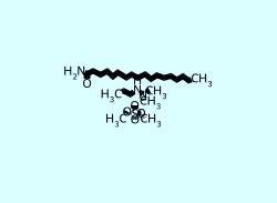 CCCCCCCCCCCCCCCCCC(N)=O.CCCNN(C)C.COS(=O)(=O)OC